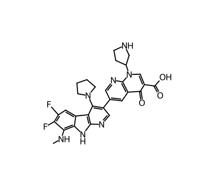 CNc1c(F)c(F)cc2c1[nH]c1ncc(-c3cnc4c(c3)c(=O)c(C(=O)O)cn4C3CCNC3)c(N3CCCC3)c12